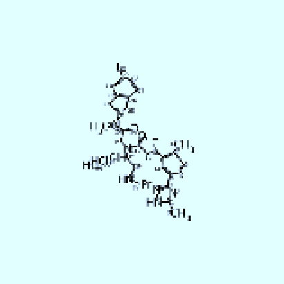 Cc1nc(-c2ccc(C)c(NCC(=O)N(CCNC(C)C)CC(=O)N(C)N3Cc4ccc(F)cc4C3)c2)n[nH]1.Cl.Cl.Cl